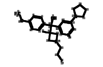 CC1([C@](O)(c2ccc(OC(F)(F)F)cc2)c2cncc(N3CCCC3)c2)CN(CCF)C1